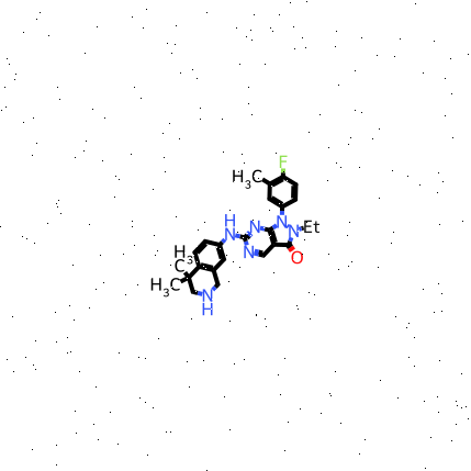 CCn1c(=O)c2cnc(Nc3ccc4c(c3)CNCC4(C)C)nc2n1-c1ccc(F)c(C)c1